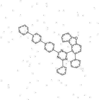 c1ccc(-c2ccc(-c3ccc(-c4nc(-c5ccccc5)nc(-c5c(-c6ccccc6)ccc6oc7ccccc7c56)n4)cc3)cc2)cc1